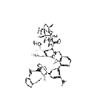 COc1c(CN2O[C@@H](CO)[C@H]([C@H](C)O)[C@H]2C(=O)N[C@H]2C[C@@]3(C)C[C@H](C3C)[C@@H]2C)cccc1-c1cc(C(=O)N[C@H](Cc2ccccc2)C(=O)N(C)C)cc(N(C)C)c1